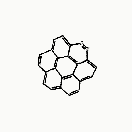 b1bc2ccc3ccc4ccc5ccc6ccc1c1c2c3c4c5c61